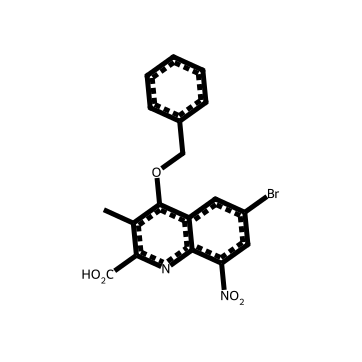 Cc1c(C(=O)O)nc2c([N+](=O)[O-])cc(Br)cc2c1OCc1ccccc1